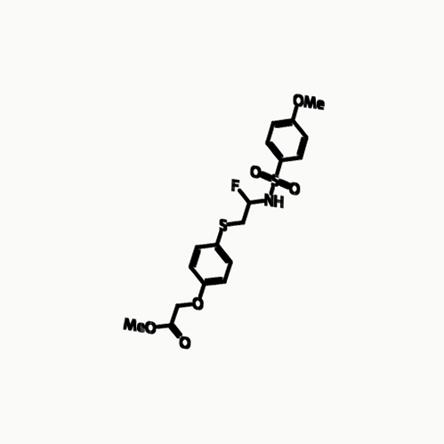 COC(=O)COc1ccc(SCC(F)NS(=O)(=O)c2ccc(OC)cc2)cc1